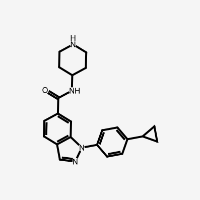 O=C(NC1CCNCC1)c1ccc2cnn(-c3ccc(C4CC4)cc3)c2c1